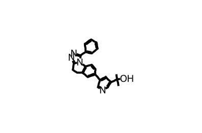 CC(C)(O)c1cncc(-c2ccc3c(c2)CCc2nnc(-c4ccccc4)n2-3)c1